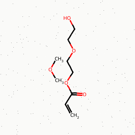 C=CC(=O)OCCOCCO.COC